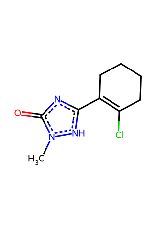 Cn1[nH]c(C2=C(Cl)CCCC2)nc1=O